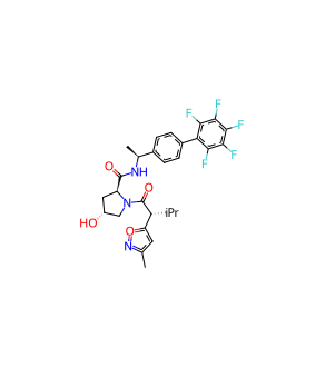 Cc1cc([C@H](C(=O)N2C[C@H](O)C[C@H]2C(=O)N[C@@H](C)c2ccc(-c3c(F)c(F)c(F)c(F)c3F)cc2)C(C)C)on1